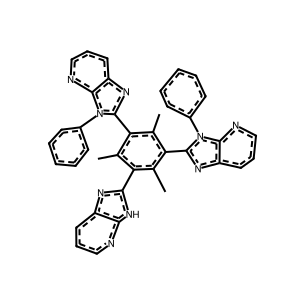 Cc1c(-c2nc3cccnc3[nH]2)c(C)c(-c2nc3cccnc3n2-c2ccccc2)c(C)c1-c1nc2cccnc2n1-c1ccccc1